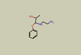 CC(O)C(NCCN)Oc1ccccc1